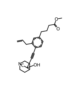 C=CCc1cc(CCCC(=O)OC)ccc1C#CC1(O)CN2CCC1CC2